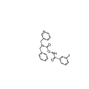 O=C(NOC(=O)N(Cc1ccccc1)Cc1cccnc1)c1cccc(I)c1